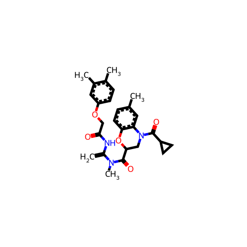 C=C(NC(=O)COc1ccc(C)c(C)c1)N(C)C(=O)C1CN(C(=O)C2CC2)c2cc(C)ccc2O1